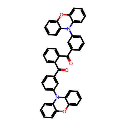 O=C(c1cccc(N2c3ccccc3Oc3ccccc32)c1)c1ccccc1C(=O)c1cccc(N2c3ccccc3Oc3ccccc32)c1